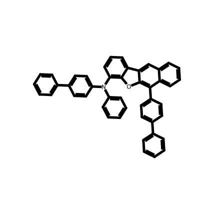 c1ccc(-c2ccc(-c3c4ccccc4cc4c3oc3c(N(c5ccccc5)c5ccc(-c6ccccc6)cc5)cccc34)cc2)cc1